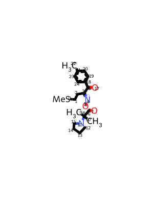 CSCC/C(=N\OC(=O)C(C)(C)N1CCCC1)C(=O)c1ccc(C)cc1